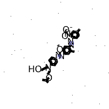 COc1cc(/N=N/c2ccc(C)cc2[N+](=O)[O-])c(C)cc1/N=N/c1ccc(N(CCO)CCOC(C)C)cc1